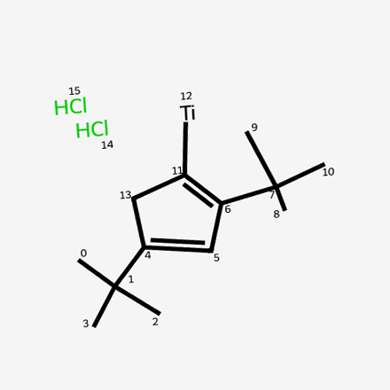 CC(C)(C)C1=CC(C(C)(C)C)=[C]([Ti])C1.Cl.Cl